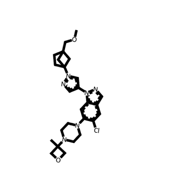 COCC12CCC(n3cc(-n4ncc5cc(Cl)c(N6CCN(C7(C)COC7)CC6)cc54)cn3)(C1)C2